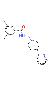 Cc1cc(C)cc(C(=O)NCN2CCC(c3ccccn3)CC2)c1